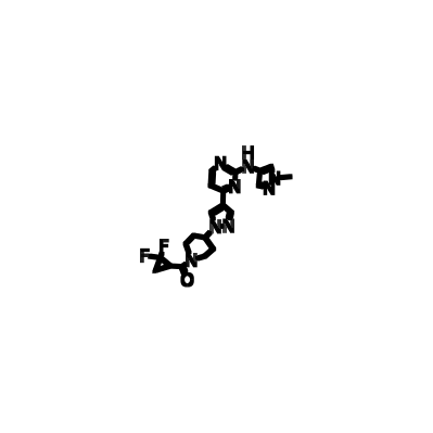 Cn1cc(Nc2nccc(-c3cnn(C4CCN(C(=O)C5CC5(F)F)CC4)c3)n2)cn1